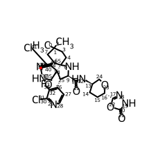 CC1(C)CCC2(CC1)N[C@@H](C(=O)N[C@@H]1CC[C@@H](c3n[nH]c(=O)o3)OC1)[C@H](c1ccnc(Cl)c1F)[C@]21C(=O)Nc2nc(Cl)ccc21